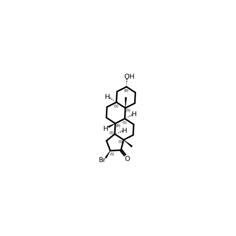 C[C@]12CC[C@@H](O)C[C@@H]1CC[C@@H]1[C@@H]2CC[C@]2(C)C(=O)[C@@H](Br)C[C@@H]12